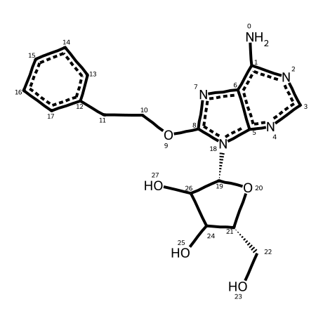 Nc1ncnc2c1nc(OCCc1ccccc1)n2[C@@H]1O[C@H](CO)C(O)C1O